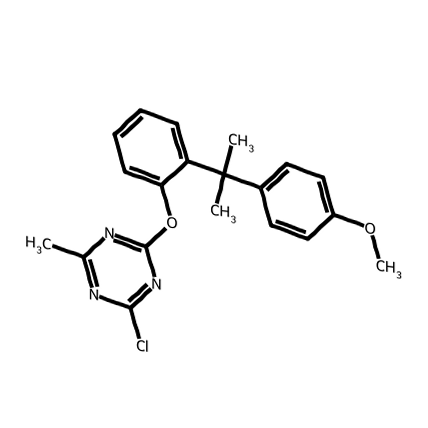 COc1ccc(C(C)(C)c2ccccc2Oc2nc(C)nc(Cl)n2)cc1